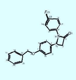 O=C1C[C@@H](c2ccc(OCc3ccccc3)cc2)N1c1ccc(F)cc1